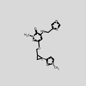 Cn1ccc([C@H]2CC2COc2cc(NCc3cncs3)c(=O)n(C)n2)n1